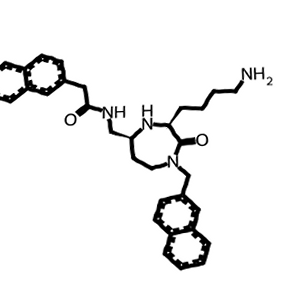 NCCCC[C@@H]1N[C@H](CNC(=O)Cc2ccc3ccccc3c2)CCN(Cc2ccc3ccccc3c2)C1=O